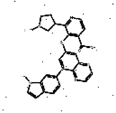 CN1CCC(c2nccc(C(N)=O)c2Nc2cc(-c3ccc4ccn(C)c4c3)c3nccnc3c2)C1